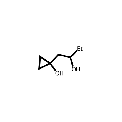 CCC(O)CC1(O)CC1